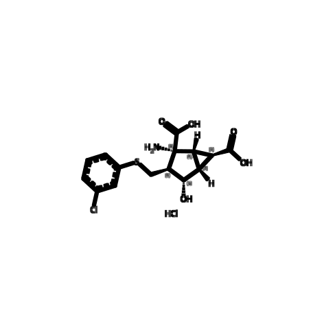 Cl.N[C@]1(C(=O)O)[C@@H]2[C@@H](C(=O)O)[C@@H]2[C@H](O)[C@H]1CSc1cccc(Cl)c1